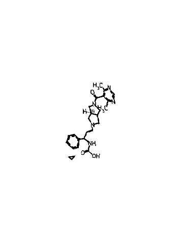 C1CC1.Cc1ncnc(C)c1C(=O)N1CC2CN(CCC(NC(=O)O)c3ccccc3)C[C@H]2C1